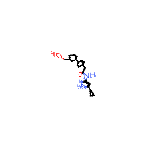 O=C(Cc1ccc(-c2cccc(CO)c2)cc1)Nc1cc(C2CC2)[nH]n1